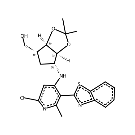 Cc1nc(Cl)cc(N[C@@H]2C[C@H](CO)[C@H]3OC(C)(C)O[C@H]32)c1-c1nc2ccccc2s1